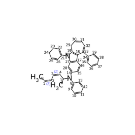 C/C=C\C=C/C(C)N(c1ccccc1)c1ccc2c3c(n(C4=CCCC=C4)c2c1)CC=CC=C3c1ccccc1